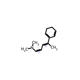 C/C(=C\C=C/N(C)C)C1=CCCC=C1